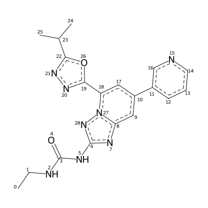 CCNC(=O)Nc1nc2cc(-c3cccnc3)cc(-c3nnc(C(C)C)o3)n2n1